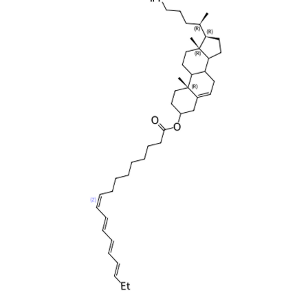 CCC=CC=CC=C/C=C\CCCCCCCC(=O)OC1CC[C@@]2(C)C(=CCC3C2CC[C@@]2(C)C3CC[C@@H]2[C@H](C)CCCC(C)C)C1